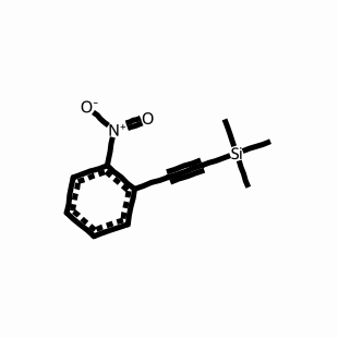 C[Si](C)(C)C#Cc1ccccc1[N+](=O)[O-]